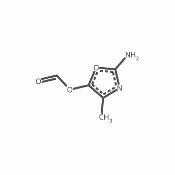 Cc1nc(N)oc1OC=O